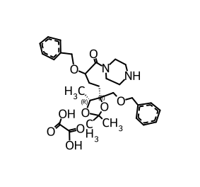 C[C@H]1OC(C)(C)O[C@]1(CCC(OCc1ccccc1)C(=O)N1CCNCC1)COCc1ccccc1.O=C(O)C(=O)O